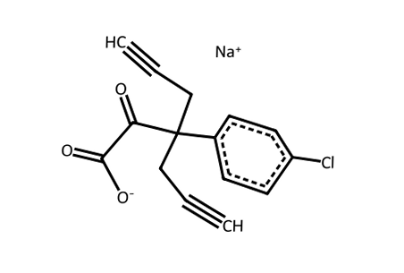 C#CCC(CC#C)(C(=O)C(=O)[O-])c1ccc(Cl)cc1.[Na+]